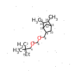 CCC(C)(C)COCOCC1CC2CC1C(C)C2C